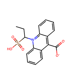 CCC([n+]1c2ccccc2c(C(=O)[O-])c2ccccc21)S(=O)(=O)O